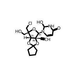 C#C[C@@]12OC3(CCCC3)O[C@@H]1[C@](CO)(CCl)O[C@H]2N1C=CC(=O)NC1O